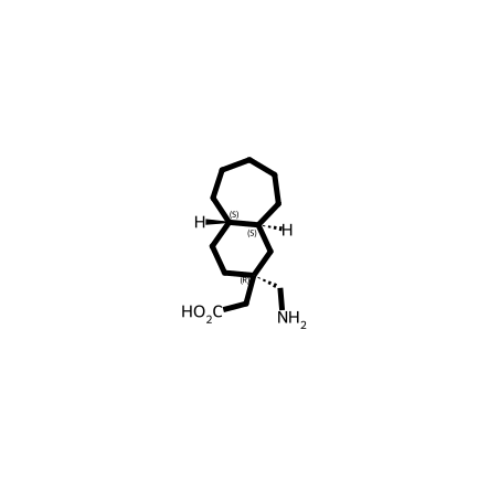 NC[C@]1(CC(=O)O)CC[C@@H]2CCCCC[C@H]2C1